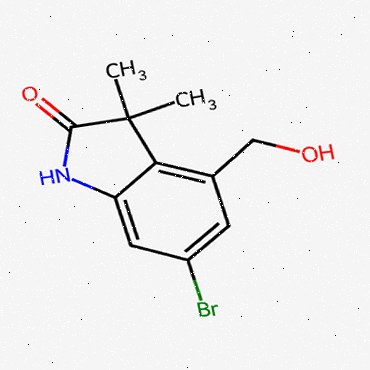 CC1(C)C(=O)Nc2cc(Br)cc(CO)c21